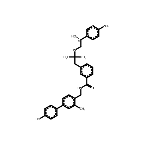 Cc1cc(-c2ccc(O)cc2)ccc1CNC(=O)c1cccc(CC(C)(C)NC[C@H](O)c2ccc(N)nc2)c1